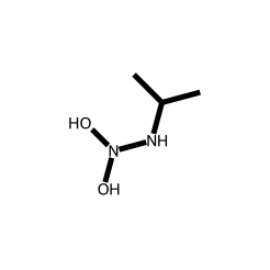 CC(C)NN(O)O